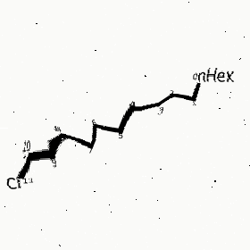 CCCCCCCCCCCCCCC[CH]Cl